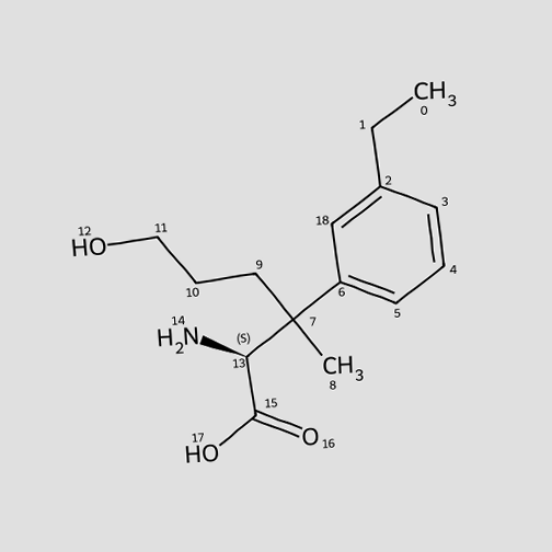 CCc1cccc(C(C)(CCCO)[C@H](N)C(=O)O)c1